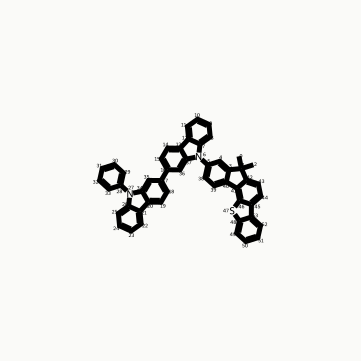 CC1(C)c2cc(-n3c4ccccc4c4ccc(-c5ccc6c7ccccc7n(-c7ccccc7)c6c5)cc43)ccc2-c2c1ccc1c2sc2ccccc21